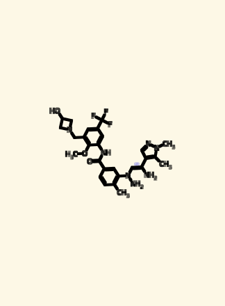 COc1c(CN2CC(O)C2)cc(C(F)(F)F)cc1NC(=O)c1ccc(C)c(N(N)/C=C(\N)c2cnn(C)c2C)c1